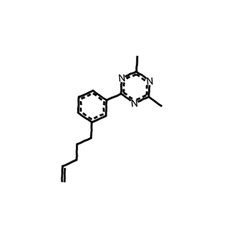 C=CCCCc1cccc(-c2nc(C)nc(C)n2)c1